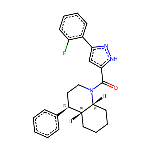 O=C(c1cc(-c2ccccc2F)n[nH]1)N1CC[C@H](c2ccccc2)[C@H]2CCCC[C@H]21